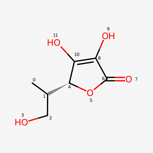 CC(CO)[C@H]1OC(=O)C(O)=C1O